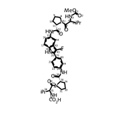 COC(=O)NC(C(=O)N1CCC[C@H]1C(=O)Nc1ccc2[nH]c(-c3ccc(NC(=O)[C@@H]4CCCN4C(=O)C(NC(=O)O)C(C)C)cc3)c(F)c2c1)C(C)C